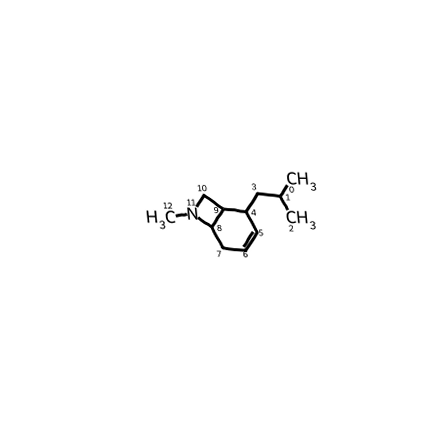 CC(C)CC1C=CCC2C1CN2C